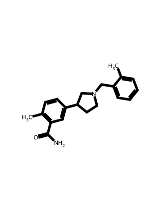 Cc1ccccc1CN1CCC(c2ccc(C)c(C(N)=O)c2)C1